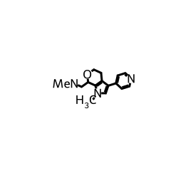 CNCC1OCCc2c(-c3ccncc3)cn(C)c21